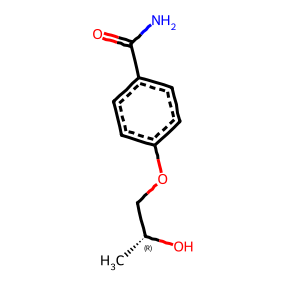 C[C@@H](O)COc1ccc(C(N)=O)cc1